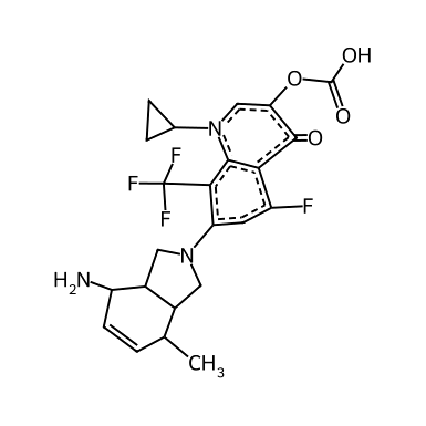 CC1C=CC(N)C2CN(c3cc(F)c4c(=O)c(OC(=O)O)cn(C5CC5)c4c3C(F)(F)F)CC12